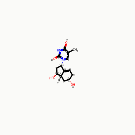 Cc1cn([C@H]2C[C@H](O)[C@H]3C[C@@H](O)CC=C32)c(=O)[nH]c1=O